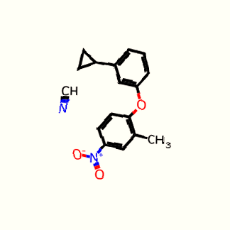 C#N.Cc1cc([N+](=O)[O-])ccc1Oc1cccc(C2CC2)c1